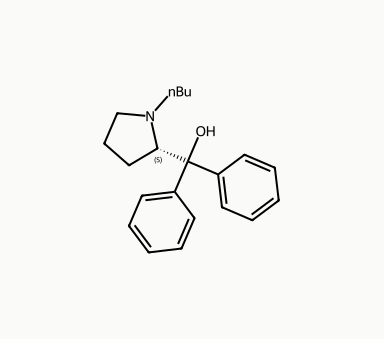 CCCCN1CCC[C@H]1C(O)(c1ccccc1)c1ccccc1